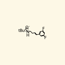 CC(C)(C)[S+]([O-])NCCC=Cc1cc(F)cc(F)c1